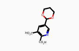 O=C(O)c1cc(C2OCCCO2)cnc1C(=O)O